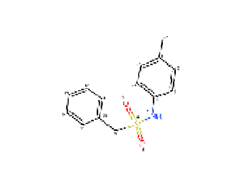 [CH2]c1ccc(NS(=O)(=O)Cc2ccccc2)cc1